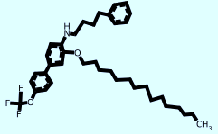 CCCCCCCCCCCCCCCOc1cc(-c2ccc(OC(F)(F)F)cc2)ccc1NCCCCc1ccccc1